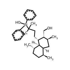 C[C@H]1CC[C@H](C)[C@H]2[C@H](CCC(C)(C)[Si](O)(c3ccccc3)c3ccccc3)[C@H](CO)[C@@H](C)C[C@H]21